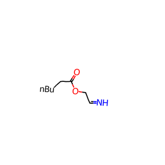 CCCCCC(=O)OCC=N